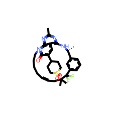 Cc1nc2c3cc(C4CCS(=O)(=O)CC4)c(=O)n(c3n1)CCCC/C=C\CC(C)(C)C(F)(F)c1cccc(c1)[C@@H](C)N2